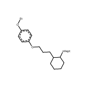 CCCCCCCC1CCCCC1CCCOc1ccc(OCC)cc1